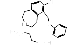 Clc1ccc2c(c1CSc1ccccc1)CCNCC2.O=C(O)CCC(=O)O